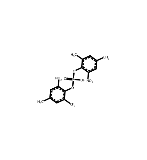 Cc1cc(C)c(OP(=O)(O)Oc2c([N+](=O)[O-])cc(C)cc2C(F)(F)F)c([N+](=O)[O-])c1